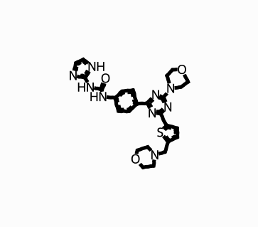 O=C(Nc1ccc(-c2nc(-c3ccc(CN4CCOCC4)s3)nc(N3CCOCC3)n2)cc1)Nc1ncc[nH]1